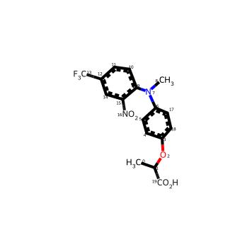 CC(Oc1ccc(N(C)c2ccc(C(F)(F)F)cc2[N+](=O)[O-])cc1)C(=O)O